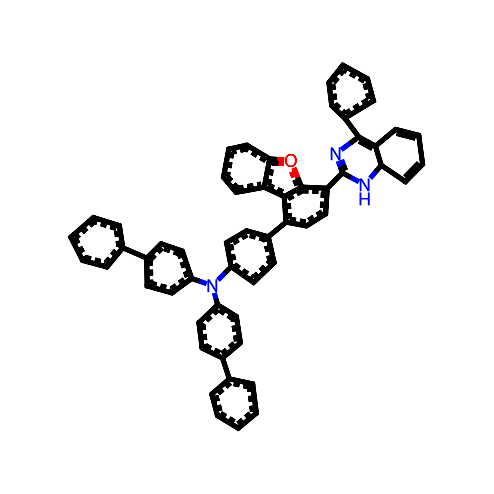 C1=CC2=C(c3ccccc3)N=C(c3ccc(-c4ccc(N(c5ccc(-c6ccccc6)cc5)c5ccc(-c6ccccc6)cc5)cc4)c4c3oc3ccccc34)NC2C=C1